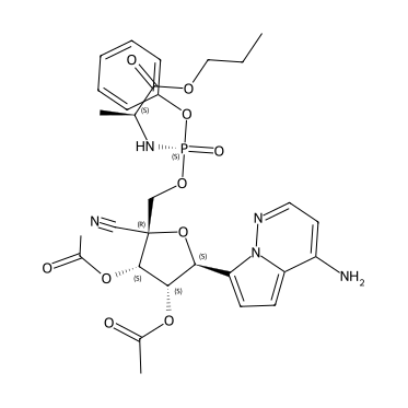 CCCOC(=O)[C@H](C)N[P@](=O)(OC[C@@]1(C#N)O[C@@H](c2ccc3c(N)ccnn23)[C@H](OC(C)=O)[C@@H]1OC(C)=O)Oc1ccccc1